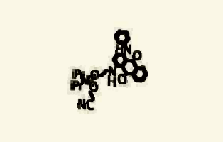 CC(C)N(C(C)C)P(OCCC#N)OCCNc1ccc(Nc2ccccc2)c2c1C(=O)c1ccccc1C2=O